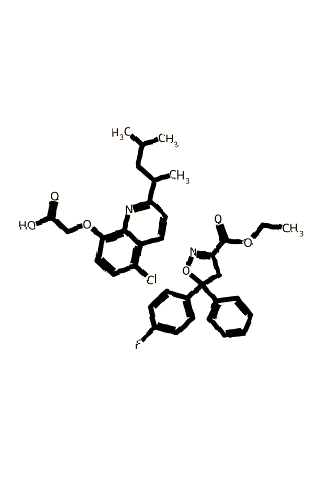 CC(C)CC(C)c1ccc2c(Cl)ccc(OCC(=O)O)c2n1.CCOC(=O)C1=NOC(c2ccccc2)(c2ccc(F)cc2)C1